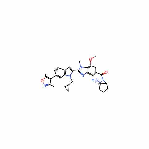 COc1cc(C(=O)N2CC3CCC2C3N)cc2nc(-c3cc4ccc(-c5c(C)noc5C)cc4n3CC3CC3)n(C)c12